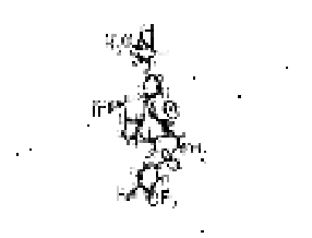 Cc1nc(-c2ccc(-n3c(=O)c4c(n5ncc(CC(C)C)c35)CN(C(=O)c3ccc(Br)c(C(F)(F)F)c3)C(C)C4)cc2)c[nH]1